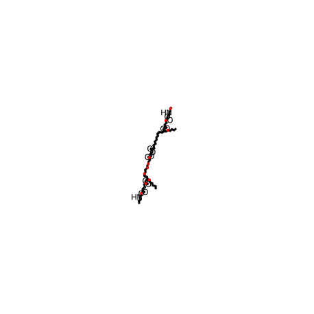 CCCCCCC(C/C=C\CCCCCCCC(=O)OCOC(=O)CCCCCCC/C=C\CC(CCCCCC)OC(=O)CCCC(=O)OCNCCC)OC(=O)CCCC(=O)OCNCCC